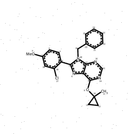 COc1ccc(-c2nc3c(OC4(C)CC4)ncnc3n2Cc2ccccc2)c(Cl)c1